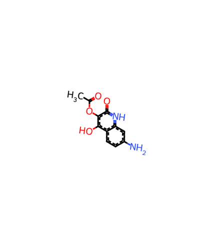 CC(=O)Oc1c(O)c2ccc(N)cc2[nH]c1=O